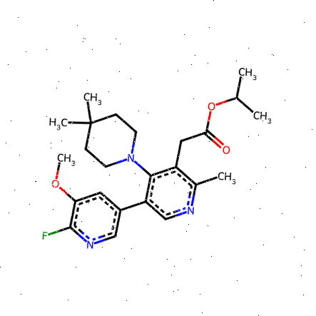 COc1cc(-c2cnc(C)c(CC(=O)OC(C)C)c2N2CCC(C)(C)CC2)cnc1F